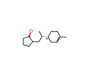 CC1=CC[C@H](C(C)CC2CCCC2=O)CC1